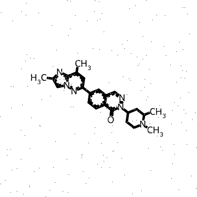 Cc1cn2nc(-c3ccc4c(=O)n(C5CCN(C)C(C)C5)ncc4c3)cc(C)c2n1